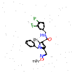 CCCO/N=C/c1cc(C(=O)NCc2ccc(F)c(F)c2)c(C(C)C)n1Cc1ccccc1